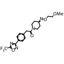 COCCON=C1CCN(C(=O)Cc2ccc(-c3noc(C(F)(F)F)n3)cc2)CC1